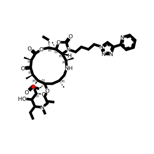 CCO[C@@H](O[C@@H]1[C@@H](C)C(=O)[C@@H](C)C(=O)O[C@H](CC)[C@@]2(C)OC(=O)N(CCCCn3cc(-c4ccccn4)nn3)[C@@H]2[C@@H](C)NC[C@H](C)C[C@@]1(CC=O)OC)C(O)C(CC)N(C)C